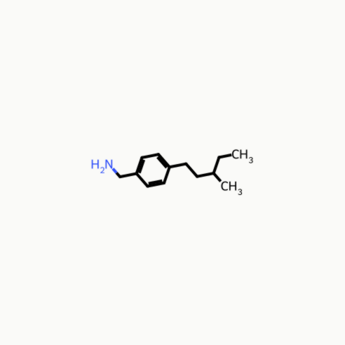 CCC(C)CCc1ccc(CN)cc1